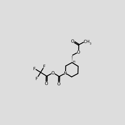 CC(=O)OC[C@@H]1CCCN(C(=O)OC(=O)C(F)(F)F)C1